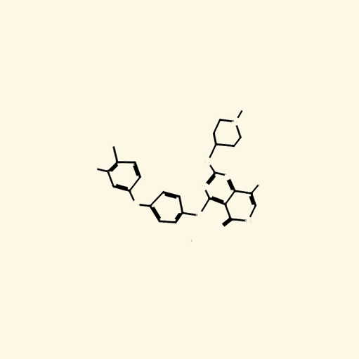 CN1CCC(Nc2nc(Nc3ccc(Oc4ccc(F)c(F)c4)cc3)c3c(=O)[nH]cc(Br)c3n2)CC1.Cl